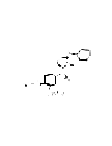 COc1ccc(N(C(C)=O)C2CSC(=NC3CCCCC3)N2C)cc1OC.Cl